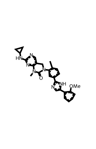 COc1ccccc1-c1cnc(-c2ccc(C)c(N3Cc4cnc(NC5CC5)nc4N(C)C3=O)c2)[nH]1